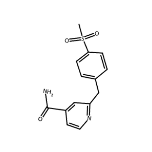 CS(=O)(=O)c1ccc(Cc2cc(C(N)=O)ccn2)cc1